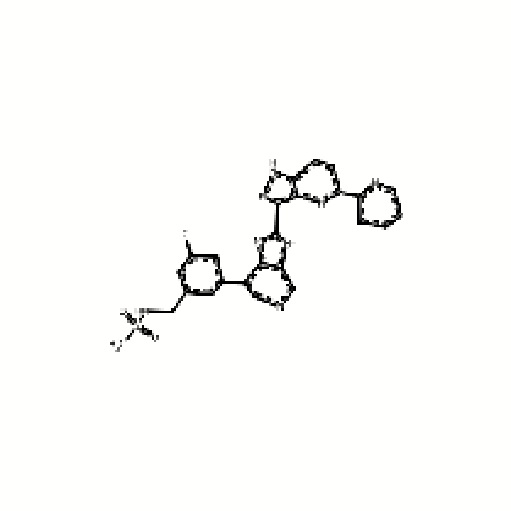 CS(=O)(=O)NCc1cc(F)cc(-c2cncc3[nH]c(-c4n[nH]c5ccc(-c6ccccn6)nc45)nc23)c1